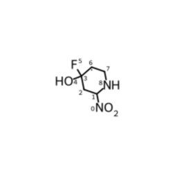 O=[N+]([O-])C1CC(O)(F)[CH]CN1